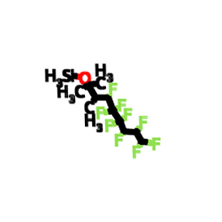 CC(C(F)C(F)(F)C(F)(F)C(F)C(F)C(F)F)C(C)(C)O[SiH3]